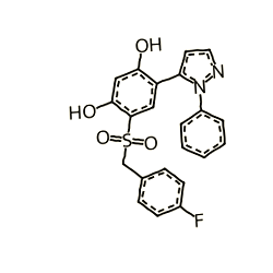 O=S(=O)(Cc1ccc(F)cc1)c1cc(-c2ccnn2-c2ccccc2)c(O)cc1O